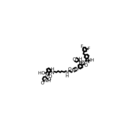 O=C(CN1CCN(c2ccc(C(=O)Nc3n[nH]c4ccc(Cc5cc(F)cc(F)c5)cc34)c(NC3CCOCC3)c2)CC1)NCCCCCCCNc1cccc2c1C(=O)N(C1CCC(=O)NC1=O)C2O